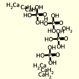 O.O=P(O)(O)O.O=P(O)(O)O.O=P(O)(O)O.O=P(O)(O)O.[CaH2].[CaH2].[CaH2].[CaH2].[CaH2].[CaH2]